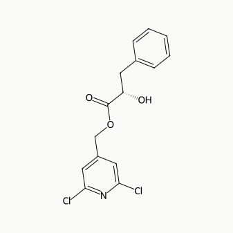 O=C(OCc1cc(Cl)nc(Cl)c1)[C@@H](O)Cc1ccccc1